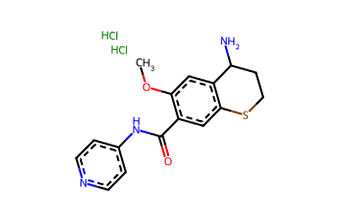 COc1cc2c(cc1C(=O)Nc1ccncc1)SCCC2N.Cl.Cl